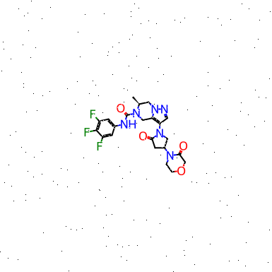 C[C@H]1Cn2ncc(N3CC(N4CCOCC4=O)CC3=O)c2CN1C(=O)Nc1cc(F)c(F)c(F)c1